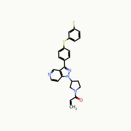 C=CC(=O)N1CCC(n2nc(-c3ccc(Sc4cccc(F)c4)cc3)c3cnccc32)C1